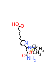 CC(C)(C)[S+]([O-])NC(CCC(N)=O)c1ccc(CCCCCC(=O)O)cn1